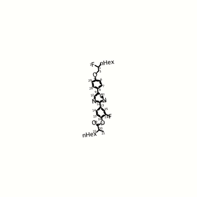 CCCCCCC(F)COc1ccc(-c2cnc(-c3ccc(OC(=O)C(C)CCCCCC)c(F)c3)nc2)cc1